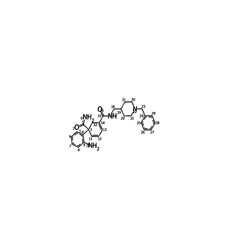 NC(=O)C1(c2ccccc2N)C=CC=C(C(=O)NCC2CCN(Cc3ccccc3)CC2)C1